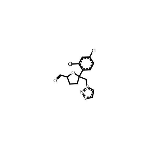 O=CC1CCC(Cn2ccnn2)(c2ccc(Cl)cc2Cl)O1